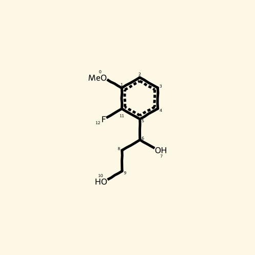 COc1cccc(C(O)CCO)c1F